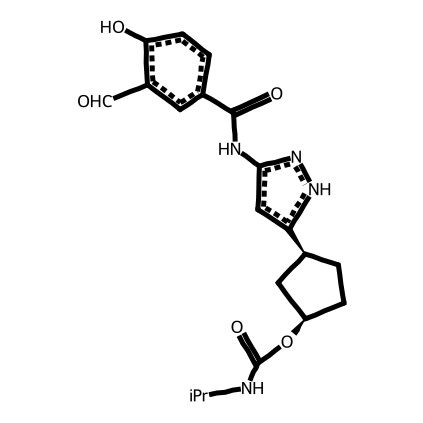 CC(C)NC(=O)O[C@@H]1CC[C@H](c2cc(NC(=O)c3ccc(O)c(C=O)c3)n[nH]2)C1